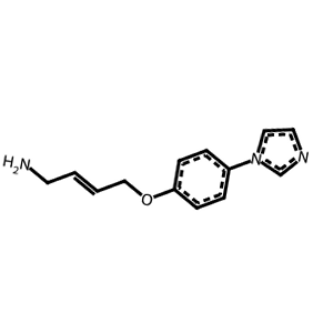 NCC=CCOc1ccc(-n2ccnc2)cc1